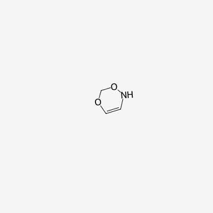 C1=COCON1